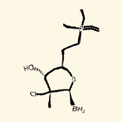 B[C@@H]1O[C@H](CCP(=C)(C)C)[C@@H](O)[C@@]1(C)Cl